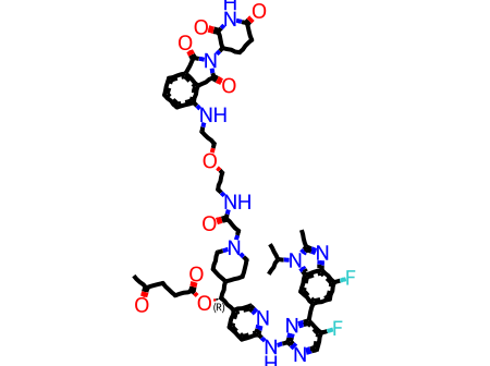 CC(=O)CCC(=O)O[C@@H](c1ccc(Nc2ncc(F)c(-c3cc(F)c4nc(C)n(C(C)C)c4c3)n2)nc1)C1CCN(CC(=O)NCCOCCNc2cccc3c2C(=O)N(C2CCC(=O)NC2=O)C3=O)CC1